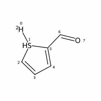 [2H][SH]1C=CC=C1C=O